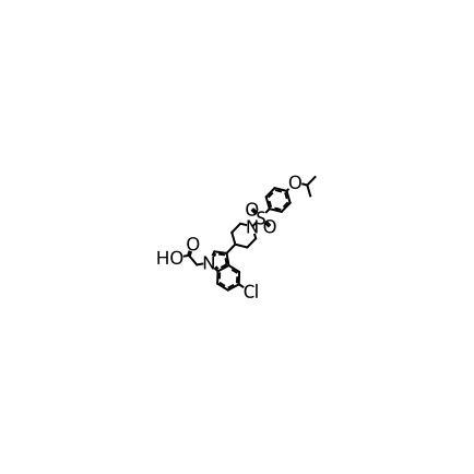 CC(C)Oc1ccc(S(=O)(=O)N2CCC(c3cn(CC(=O)O)c4ccc(Cl)cc34)CC2)cc1